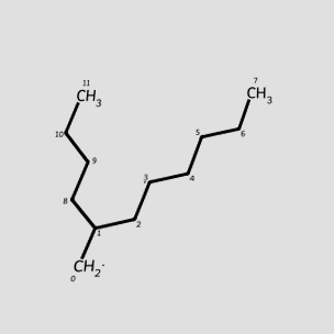 [CH2]C(C[CH]CCCC)CCCC